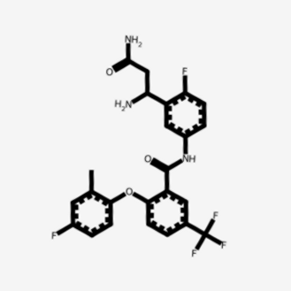 Cc1cc(F)ccc1Oc1ccc(C(F)(F)F)cc1C(=O)Nc1ccc(F)c(C(N)CC(N)=O)c1